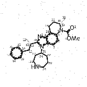 COC(=O)N1c2ccc3c(nc([C@@H](C)Cc4ccccc4)n3[C@H]3CCCNCC3)c2CC[C@@H]1C